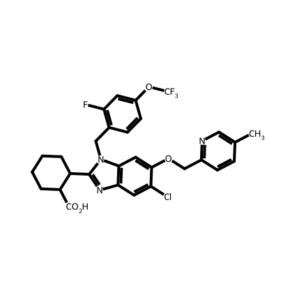 Cc1ccc(COc2cc3c(cc2Cl)nc(C2CCCCC2C(=O)O)n3Cc2ccc(OC(F)(F)F)cc2F)nc1